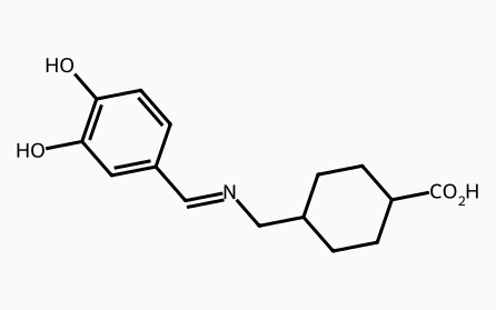 O=C(O)C1CCC(C/N=C/c2ccc(O)c(O)c2)CC1